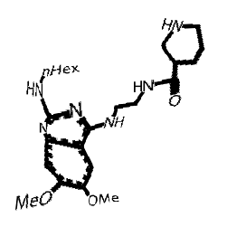 CCCCCCNc1nc(NCCNC(=O)C2CCCNC2)c2cc(OC)c(OC)cc2n1